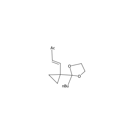 CCCCC1(C2(C=CC(C)=O)CC2)OCCO1